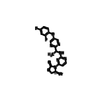 CC(Nc1nccc(N2C(=O)OC[C@@H]2C(C)C)n1)c1ncc(Oc2ccc(F)cc2F)cn1